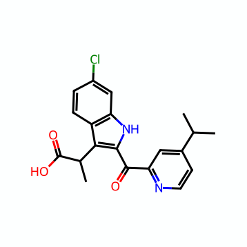 CC(C)c1ccnc(C(=O)c2[nH]c3cc(Cl)ccc3c2C(C)C(=O)O)c1